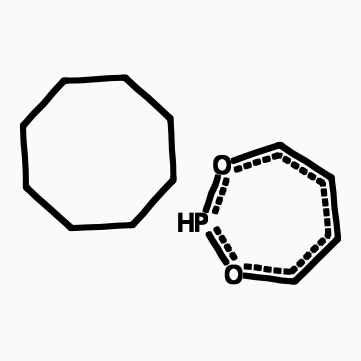 C1CCCCCCC1.c1cco[pH]oc1